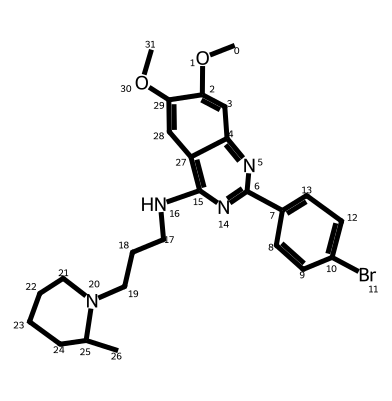 COc1cc2nc(-c3ccc(Br)cc3)nc(NCCCN3CCCCC3C)c2cc1OC